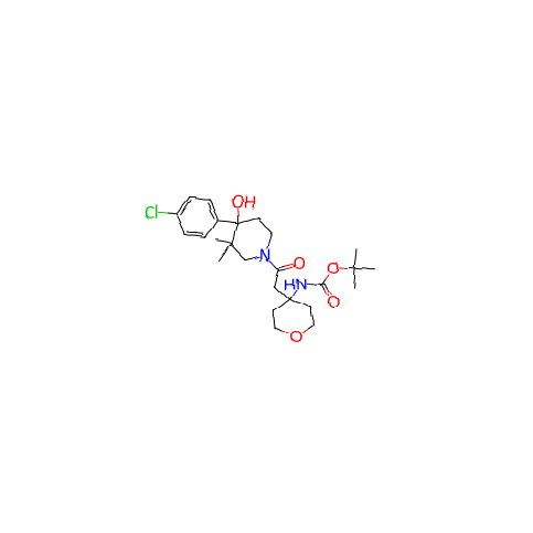 CC(C)(C)OC(=O)NC1(CC(=O)N2CCC(O)(c3ccc(Cl)cc3)C(C)(C)C2)CCOCC1